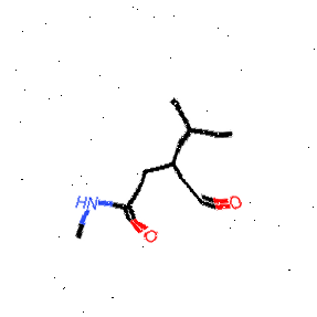 CNC(=O)CC(C=O)C(C)C